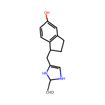 O=CC1NC=C(CC2CCc3cc(O)ccc32)N1